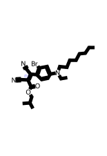 CCCCCCCCN(CC)c1ccc(/C(C#N)=C(/C#N)C(=O)OCC(C)C)c(Br)c1